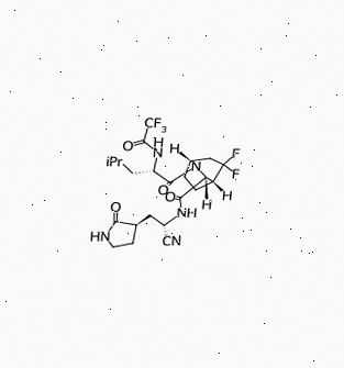 CC(C)C[C@H](NC(=O)C(F)(F)F)C(=O)N1[C@@H]2CC[C@H]([C@@H]1C(=O)N[C@H](C#N)C[C@H]1CCNC1=O)C(F)(F)C2